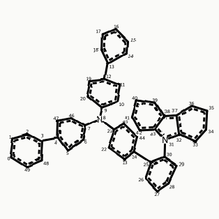 c1ccc(-c2ccc(N(c3ccc(-c4ccccc4)cc3)c3ccc(-c4ccccc4-n4c5ccccc5c5ccccc54)cc3)cc2)cc1